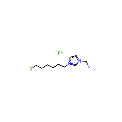 NCn1cc[n+](CCCCCCS)c1.[Br-]